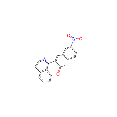 CC(=O)C(=Cc1cccc([N+](=O)[O-])c1)c1nccc2ccccc12